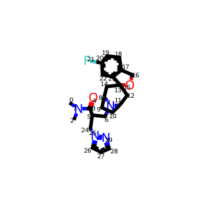 CN(C)C(=O)C(CN1C2CCC1CC1(C2)OCc2ccc(F)cc21)Cn1cccn1